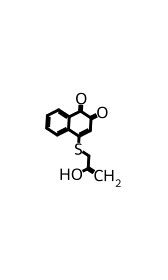 C=C(O)CSC1=CC(=O)C(=O)c2ccccc21